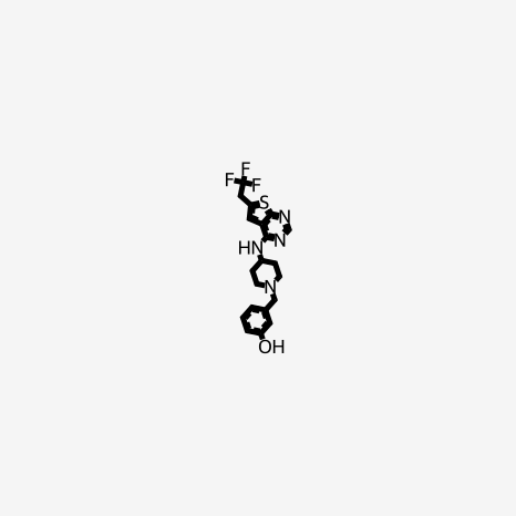 Oc1cccc(CN2CCC(Nc3ncnc4sc(CC(F)(F)F)cc34)CC2)c1